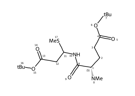 CN[C@@H](CCC(=O)OC(C)(C)C)C(=O)NC(CC(=O)OC(C)(C)C)SC